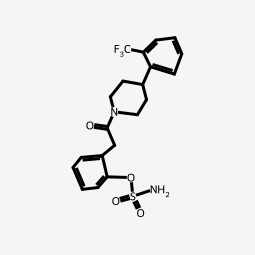 NS(=O)(=O)Oc1ccccc1CC(=O)N1CCC(c2ccccc2C(F)(F)F)CC1